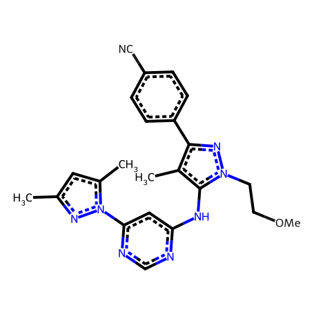 COCCn1nc(-c2ccc(C#N)cc2)c(C)c1Nc1cc(-n2nc(C)cc2C)ncn1